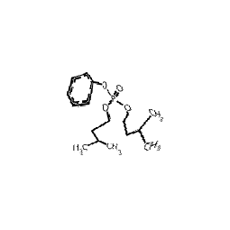 CC(C)CCOP(=O)(OCCC(C)C)Oc1ccccc1